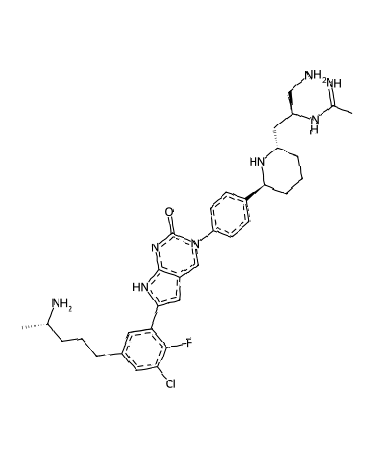 CC(=N)N[C@H](CN)C[C@@H]1CCC[C@@H](c2ccc(-n3cc4cc(-c5cc(CCC[C@H](C)N)cc(Cl)c5F)[nH]c4nc3=O)cc2)N1